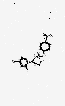 O=[N+]([O-])c1ccc(OP2(=O)OCCC(c3ccc(Cl)cc3F)O2)cc1